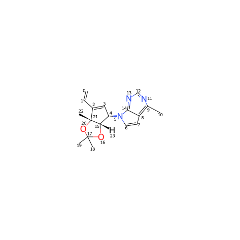 C=CC1=C[C@@H](n2ccc3c(C)ncnc32)[C@@H]2OC(C)(C)O[C@]12C